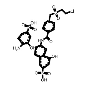 Nc1ccc(S(=O)(=O)O)cc1O.O=C(Nc1ccc2cc(S(=O)(=O)O)cc(O)c2c1)c1ccc(CS(=O)(=O)CCCl)cc1